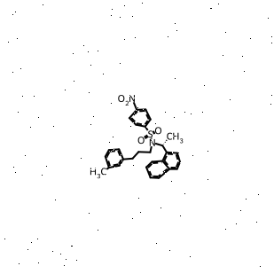 Cc1cccc(CCCN([C@H](C)c2cccc3ccccc23)S(=O)(=O)c2ccc([N+](=O)[O-])cc2)c1